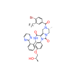 C[C@@H]1Cn2c(c(C(=O)NCc3ccccc3-c3ncccn3)n(-c3ccc(OC[C@@H](C)O)cc3)c2=O)CN1C(=O)c1ccc(Br)c(C(F)(F)F)c1